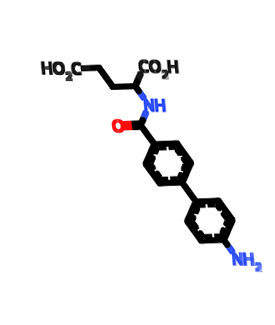 Nc1ccc(-c2ccc(C(=O)NC(CCC(=O)O)C(=O)O)cc2)cc1